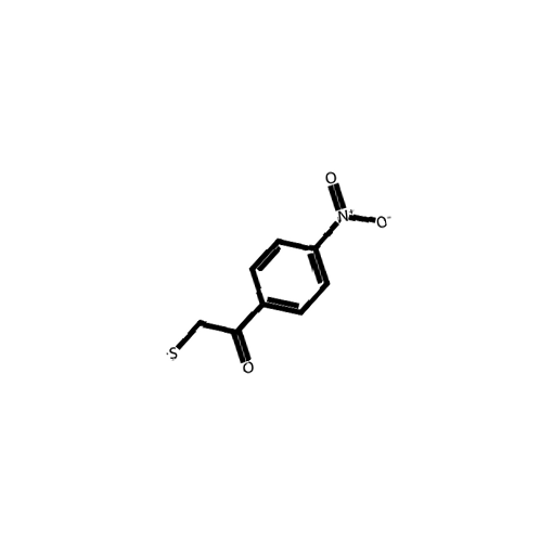 O=C(C[S])c1ccc([N+](=O)[O-])cc1